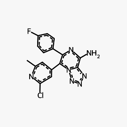 Cc1cc(-c2c(-c3ccc(F)cc3)nc(N)c3nnnn23)cc(Cl)n1